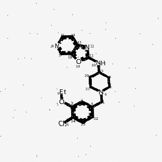 CCOc1cc(CN2CCC(Nc3nc4ccncc4o3)CC2)ccc1Cl